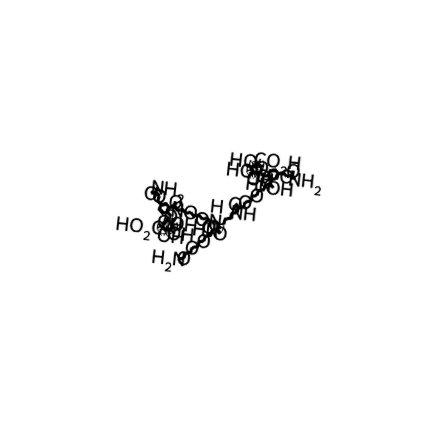 NOCCOCCOCCNC(=O)[C@H](CCCCNC(=O)COCCOCCNC(O)c1cc(COC(N)=O)ccc1O[C@@H]1O[C@H](C(=O)O)[C@@H](O)[C@H](O)[C@H]1O)NC(=O)COCCOCCNC(=O)c1cc(COC(N)=O)ccc1O[C@@H]1O[C@H](C(=O)O)[C@@H](O)[C@H](O)[C@H]1O